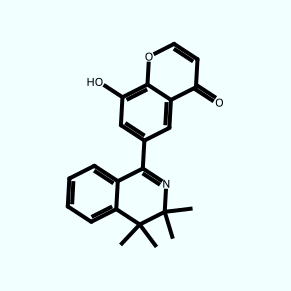 CC1(C)N=C(c2cc(O)c3occc(=O)c3c2)c2ccccc2C1(C)C